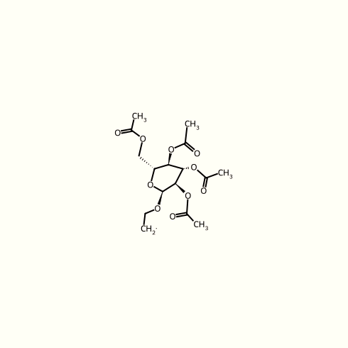 [CH2]CO[C@H]1O[C@H](COC(C)=O)[C@@H](OC(C)=O)[C@H](OC(C)=O)[C@H]1OC(C)=O